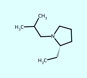 CC[C@H]1CCCN1CC(C)C